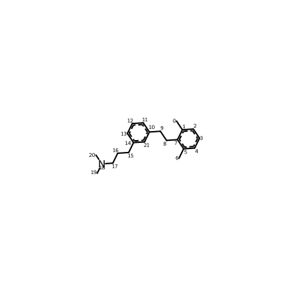 Cc1cccc(C)c1CCc1cccc(CCCN(C)C)c1